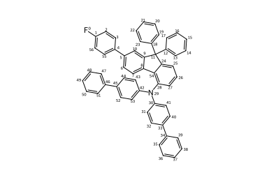 Fc1ccc(-c2ccc3c(c2)C(c2ccccc2)(c2ccccc2)c2cccc(N(c4ccc(-c5ccccc5)cc4)c4ccc(-c5ccccc5)cc4)c2-3)cc1